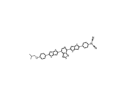 CC(C)COc1ccc(-c2cc3sc(-c4cnc(-c5cc6sc(-c7ccc(N(C#N)C#N)cc7)cc6s5)c5nsnc45)cc3s2)cc1